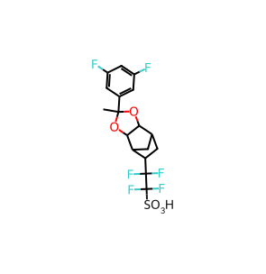 CC1(c2cc(F)cc(F)c2)OC2C3CC(C2O1)C(C(F)(F)C(F)(F)S(=O)(=O)O)C3